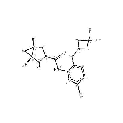 C[C@@]12C[C@@H](C(=O)Nc3nc(Br)ccc3CN3CC(F)(F)C3)N[C@@H]1C2